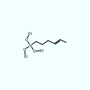 CC=CCCC[Si](OCC)(OCC)OCC